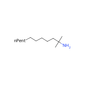 CCCCCCCCCCC(C)(C)N